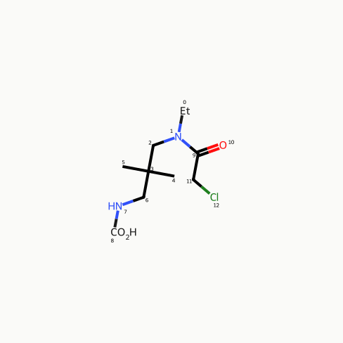 CCN(CC(C)(C)CNC(=O)O)C(=O)CCl